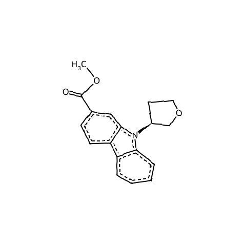 COC(=O)c1ccc2c3ccccc3n([C@H]3CCOC3)c2c1